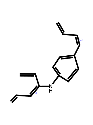 C=C/C=C\c1ccc(N/C(C=C)=C/C=C)cc1